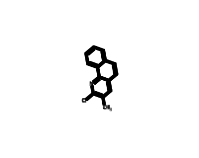 Cc1cc2ccc3ccccc3c2nc1Cl